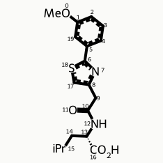 COc1cccc(-c2nc(CC(=O)N[C@@H](CC(C)C)C(=O)O)cs2)c1